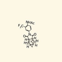 CC(=O)Nc1ccc(N2C(=O)[C@@H]3[C@@H]4CC[C@@H]([C@H]5C[C@H]54)[C@@H]3C2=O)cc1C(F)(F)F